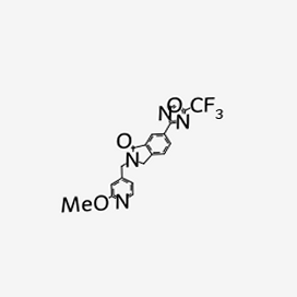 COc1cc(CN2Cc3ccc(-c4noc(C(F)(F)F)n4)cc3C2=O)ccn1